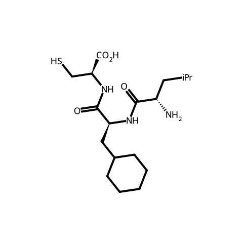 CC(C)C[C@H](N)C(=O)N[C@@H](CC1CCCCC1)C(=O)N[C@@H](CS)C(=O)O